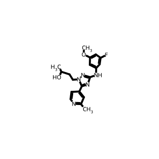 COc1cc(F)cc(Nc2nc(-c3ccnc(C)c3)n(CCC(C)O)n2)c1